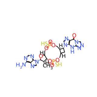 C[C@@H]1[C@@H]2O[P@@](=O)(S)OC[C@H]3C[C@@H](n4cnc5c(=O)n6cnnc6[nH]c54)[C@@H]3CO[P@@](=O)(S)OC[C@H]2O[C@H]1n1cnc2c(N)ncnc21